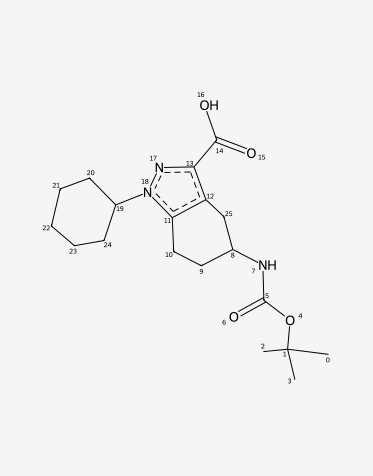 CC(C)(C)OC(=O)NC1CCc2c(c(C(=O)O)nn2C2CCCCC2)C1